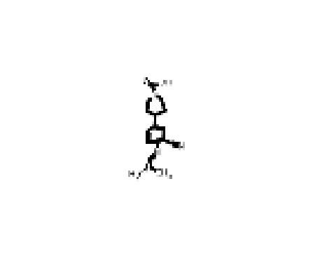 CN(C)C=Nc1ccc(C2CCN(C(=O)O)CC2)cc1C#N